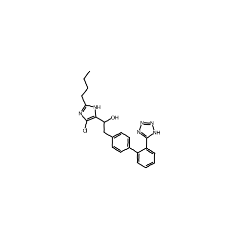 CCCCc1nc(Cl)c(C(O)Cc2ccc(-c3ccccc3-c3nnn[nH]3)cc2)[nH]1